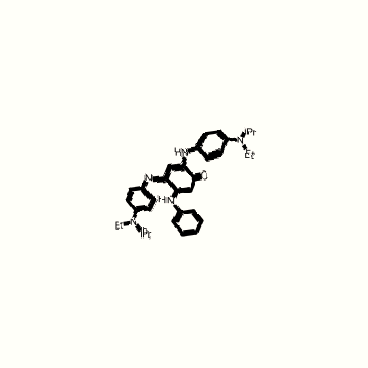 CCN(c1ccc(/N=C2/C=C(Nc3ccc(N(CC)C(C)C)cc3)C(=O)C=C2Nc2ccccc2)cc1)C(C)C